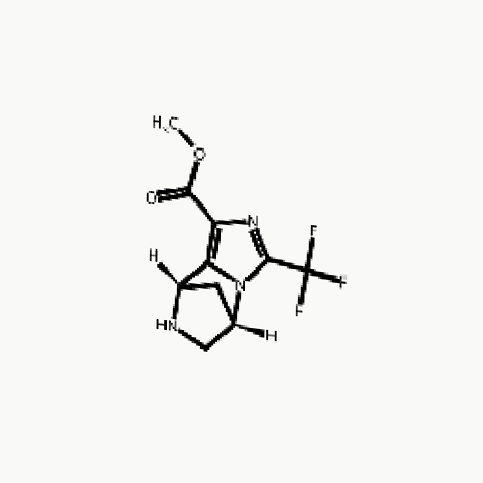 COC(=O)c1nc(C(F)(F)F)n2c1[C@@H]1C[C@H]2CN1